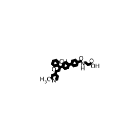 Cc1cc(C(=O)CC(c2ccc(-c3ccc(C(=O)NCCC(=O)O)cc3)cc2)c2ccccc2C)ccn1